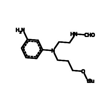 CC(C)(C)OCCCN(CCNC=O)c1cccc(N)c1